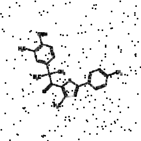 COc1ccc(C(C)(C)C(=O)c2sc(-c3ccc(C(F)(F)F)cc3)cc2C)cc1C